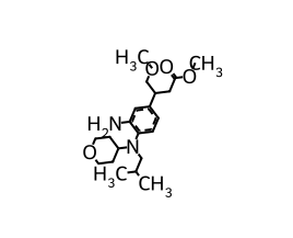 COCC(CC(=O)OC)c1ccc(N(CC(C)C)C2CCOCC2)c(N)c1